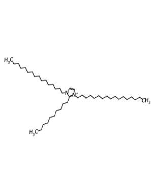 CCCCCCCCCCCCCCCCC[n+]1ccn(CCCCCCCCCCCCCCCC)c1CCCCCCCCCC